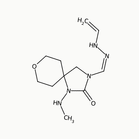 C=CN/N=C\N1CC2(CCOCC2)N(NC)C1=O